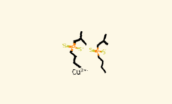 CCCCP(=S)([S-])CC(C)C.CCCCP(=S)([S-])CC(C)C.[Cu+2]